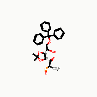 CC1(C)O[C@H](C(O)COC(c2ccccc2)(c2ccccc2)c2ccccc2)[C@H](C(=O)C(P=O)C(=O)O)O1